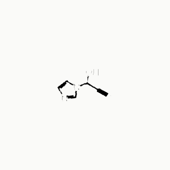 [C]#C[C@H](O)n1ccnc1